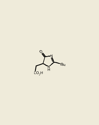 CC(C)(C)C1=NC(=O)C(CC(=O)O)N1